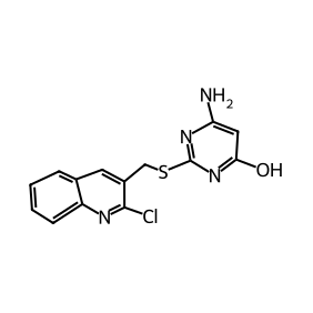 Nc1cc(O)nc(SCc2cc3ccccc3nc2Cl)n1